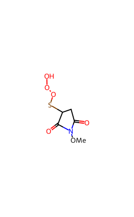 CON1C(=O)CC(SOOO)C1=O